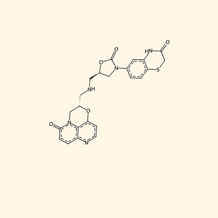 O=C1CSc2ccc(N3C[C@@H](CNC[C@H]4Cn5c(=O)ccc6nccc(c65)O4)OC3=O)cc2N1